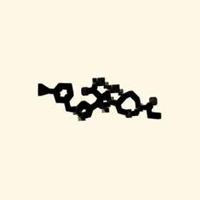 C=CC(=O)N1CCCC(n2nc(-c3cnn(Cc4cccc(C5CC5)c4)c3)c(C(N)=O)c2N)CCC1